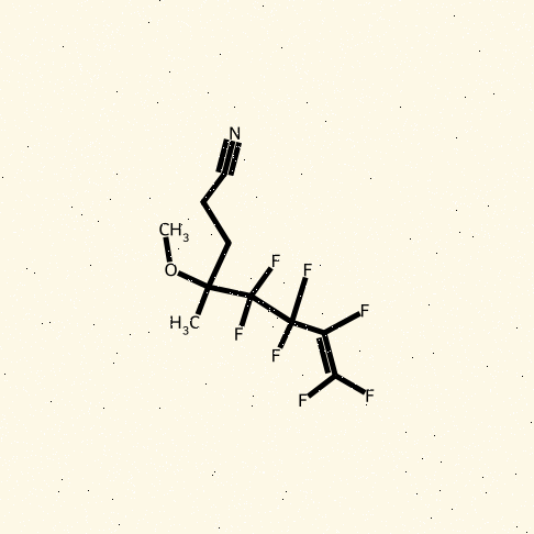 COC(C)(CCC#N)C(F)(F)C(F)(F)C(F)=C(F)F